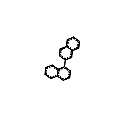 [c]1ccc2cc(-c3cccc4ccccc34)ccc2c1